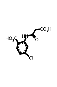 O=C(O)CC(=O)Nc1cc(Cl)ccc1C(=O)O